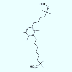 Cc1cc(CCCCC(C)(C)OC=O)c(C)c(CCCCCCC(C)(C)C(=O)O)c1C